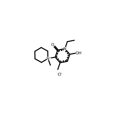 CCn1c(O)cc(C)c([N+]2(C)CCCCC2)c1=O.[Cl-]